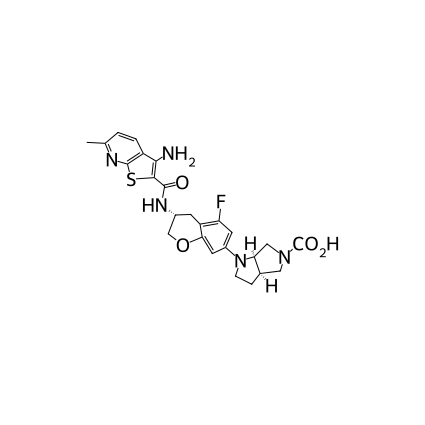 Cc1ccc2c(N)c(C(=O)N[C@H]3COc4cc(N5CC[C@@H]6CN(C(=O)O)C[C@@H]65)cc(F)c4C3)sc2n1